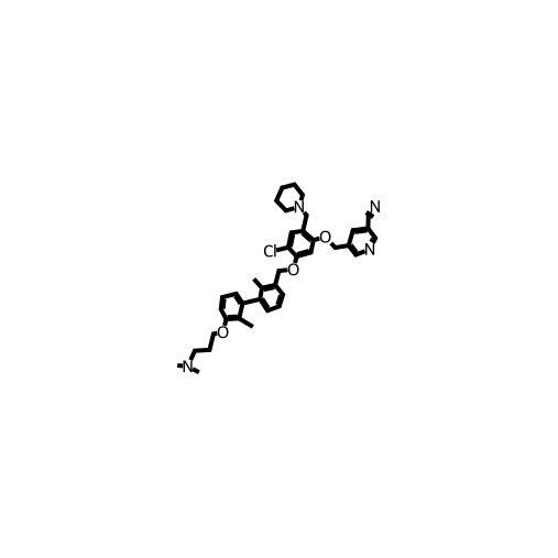 Cc1c(COc2cc(OCc3cncc(C#N)c3)c(CN3CCCCC3)cc2Cl)cccc1-c1cccc(OCCCN(C)C)c1C